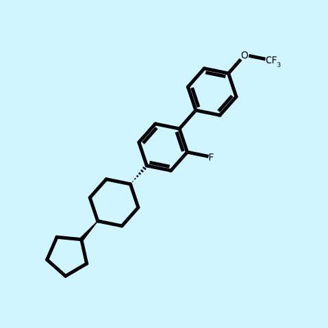 Fc1cc([C@H]2CC[C@H](C3CCCC3)CC2)ccc1-c1ccc(OC(F)(F)F)cc1